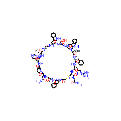 CCCC[C@H]1C(=O)N(C)[C@@H](Cc2ccccc2)C(=O)N[C@@H](CCCNC(=N)N)C(=O)N[C@H](C(=O)NCC(N)=O)CSCC(=O)N[C@@H](Cc2ccccc2)C(=O)N(C)[C@@H](C)C(=O)N[C@@H](CC(N)=O)C(=O)N2CCC[C@H]2C(=O)N[C@@H](Cc2cnc[nH]2)C(=O)N[C@@H](CC(C)C)C(=O)N(C)CC(=O)N[C@@H](Cc2c[nH]c3ccccc23)C(=O)N[C@@H](CO)C(=O)N[C@@H](Cc2c[nH]c3ccccc23)C(=O)N1C